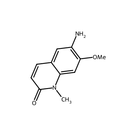 COc1cc2c(ccc(=O)n2C)cc1N